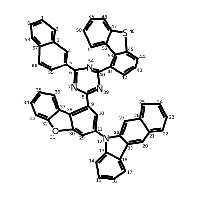 c1ccc2cc(-c3nc(-c4cc(-n5c6ccccc6c6cc7ccccc7cc65)cc5oc6ccccc6c45)nc(-c4cccc5sc6ccccc6c45)n3)ccc2c1